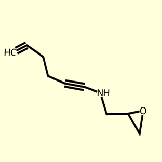 C#CCCC#CNCC1CO1